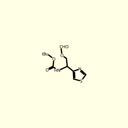 CC(C)(C)OC(=O)NC(COC=O)c1cscn1